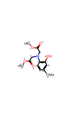 CCCCOC(=O)CN(CC(=O)OCCCC)c1ccc(OC)cc1O